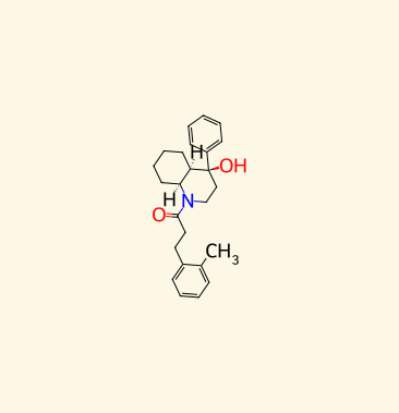 Cc1ccccc1CCC(=O)N1CC[C@@](O)(c2ccccc2)[C@@H]2CCCC[C@@H]21